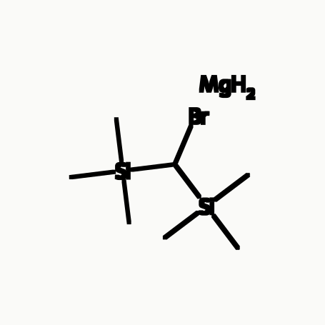 C[Si](C)(C)C(Br)[Si](C)(C)C.[MgH2]